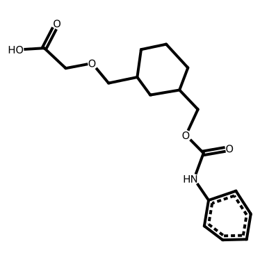 O=C(O)COCC1CCCC(COC(=O)Nc2ccccc2)C1